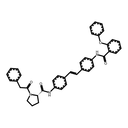 O=C(Nc1ccc(/C=C/c2ccc(NC(=O)[C@@H]3CCCN3C(=O)Cc3ccccc3)cc2)cc1)c1ccccc1Oc1ccccc1